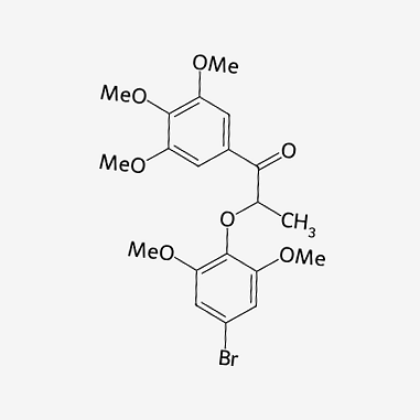 COc1cc(C(=O)C(C)Oc2c(OC)cc(Br)cc2OC)cc(OC)c1OC